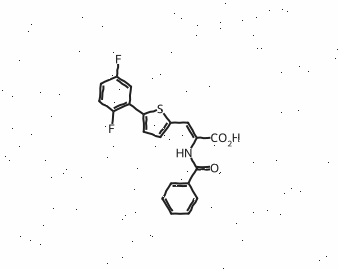 O=C(O)/C(=C/c1ccc(-c2cc(F)ccc2F)s1)NC(=O)c1ccccc1